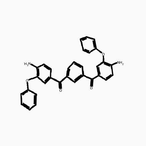 Nc1ccc(C(=O)c2cccc(C(=O)c3ccc(N)c(Oc4ccccc4)c3)c2)cc1Oc1ccccc1